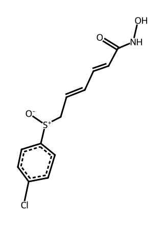 O=C(C=CC=CC[S+]([O-])c1ccc(Cl)cc1)NO